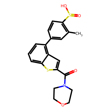 Cc1cc(-c2cccc3sc(C(=O)N4CCOCC4)cc23)ccc1S(=O)O